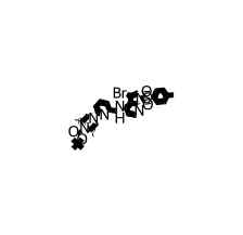 Cc1ccc(S(=O)(=O)n2cc(Br)c3c(NCc4cccc(N5C[C@@H](C)N(C(=O)OC(C)(C)C)[C@@H](C)C5)n4)ccnc32)cc1